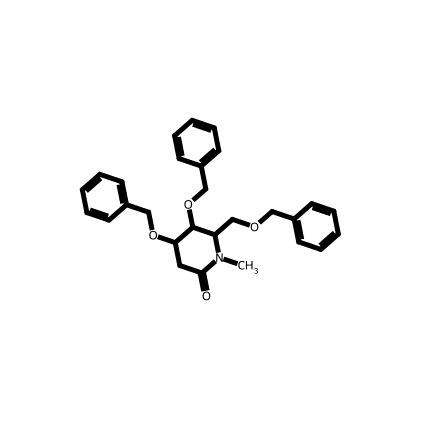 CN1C(=O)CC(OCc2ccccc2)C(OCc2ccccc2)C1COCc1ccccc1